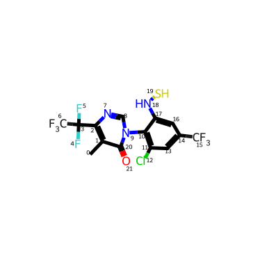 Cc1c(C(F)(F)C(F)(F)F)ncn(-c2c(Cl)cc(C(F)(F)F)cc2NS)c1=O